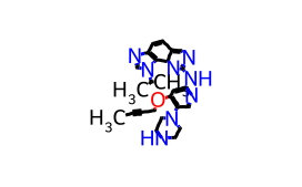 CC#CCOc1cc(Nc2ncc3ccc4ncn(C(C)C)c4c3n2)ncc1N1CCNCC1